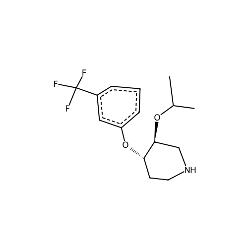 CC(C)O[C@H]1CNCC[C@@H]1Oc1cccc(C(F)(F)F)c1